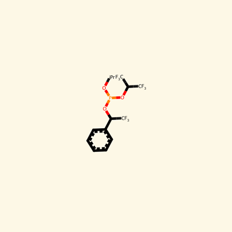 CC(C)OP(OC(c1ccccc1)C(F)(F)F)OC(C(F)(F)F)C(F)(F)F